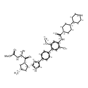 COC(=O)N[C@H](C(=O)N1C[C@@H](C)C[C@H]1c1nc(-c2ccc(-c3cc(Cl)c(NC(=O)N4CCN(C5CCNCC5)CC4)cc3OC(F)(F)F)cc2)c[nH]1)C(C)C